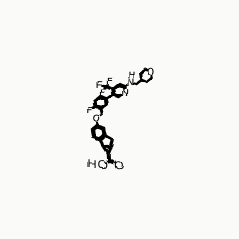 O=C(O)C1C2Cc3cc(OCc4cc(-c5cnc(NCC6CCOCC6)cc5C(F)(F)F)ccc4F)ccc3C21